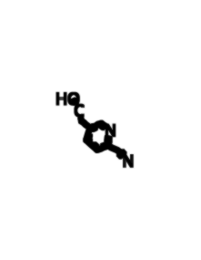 N#Cc1ccc(CCO)cn1